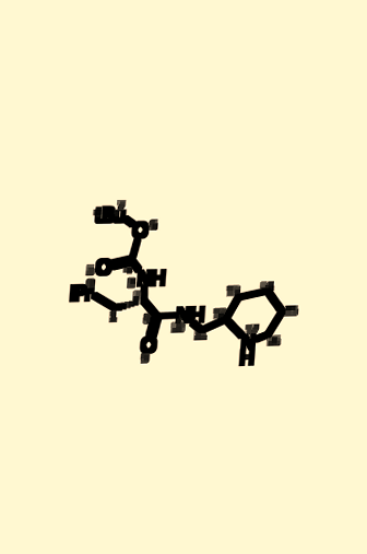 CC(C)C[C@H](NC(=O)OC(C)(C)C)C(=O)NCC1CCCCN1